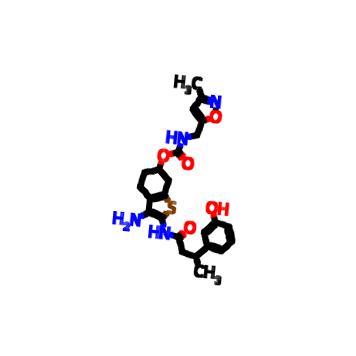 Cc1cc(CNC(=O)OC2CCc3c(sc(NC(=O)CC(C)c4cccc(O)c4)c3N)C2)on1